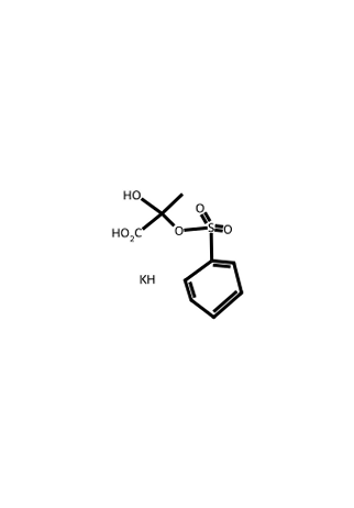 CC(O)(OS(=O)(=O)c1ccccc1)C(=O)O.[KH]